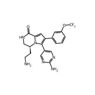 NCC[C@H]1CNC(=O)c2cc(-c3cccc(OC(F)(F)F)c3)c(-c3cnc(N)nc3)n21